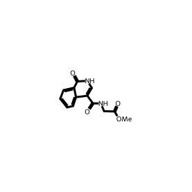 COC(=O)CNC(=O)c1c[nH]c(=O)c2ccccc12